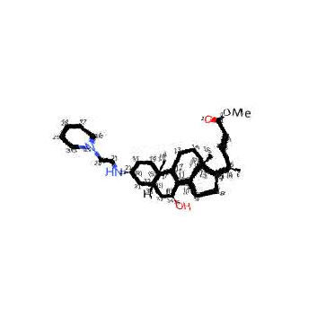 COC(=O)CC[C@@H](C)[C@H]1CCC2C3C(CC[C@@]21C)[C@@]1(C)CC[C@@H](NCCN2CCCCC2)C[C@H]1C[C@H]3O